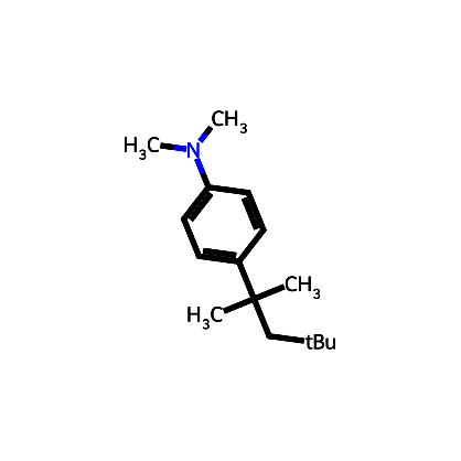 CN(C)c1ccc(C(C)(C)CC(C)(C)C)cc1